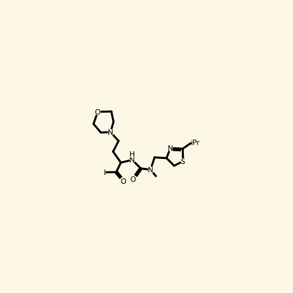 CC(C)C1=NC(CN(C)C(=O)NC(CCN2CCOCC2)C(=O)I)CS1